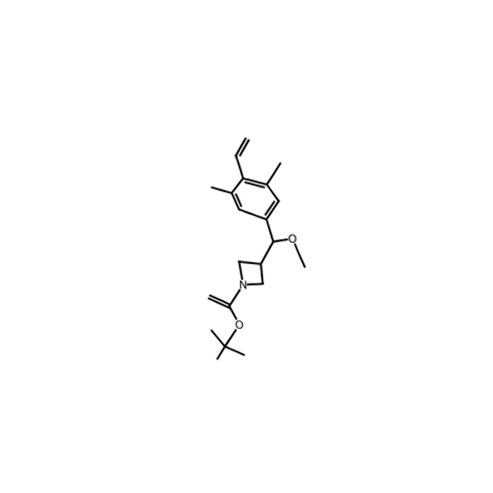 C=Cc1c(C)cc(C(OC)C2CN(C(=C)OC(C)(C)C)C2)cc1C